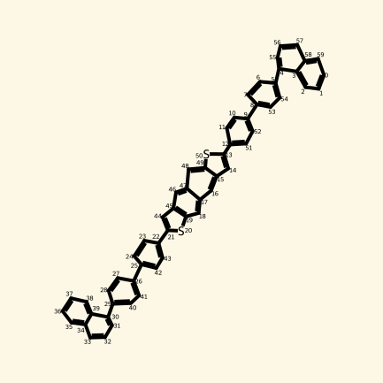 c1ccc2c(-c3ccc(-c4ccc(-c5cc6cc7cc8sc(-c9ccc(-c%10ccc(-c%11cccc%12ccccc%11%12)cc%10)cc9)cc8cc7cc6s5)cc4)cc3)cccc2c1